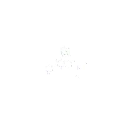 CNc1nc(-c2cccnc2)nc2ccc(OC(CC(C)=O)N3CCN(C)CC3)cc12.Cl.Cl.Cl